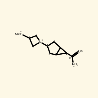 COC1CN(C2CC3C(C2)C3C(N)=O)C1